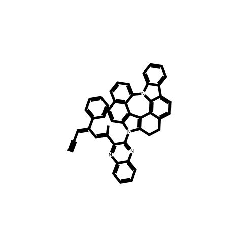 C#C/C=C(\C=C(/C)c1nc2ccccc2nc1-n1c2c3c4c(ccc5c6ccccc6n(c6cccc7ccc1c3c76)c54)CC2)c1ccccc1